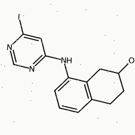 OC1CCc2cccc(Nc3cc(I)ncn3)c2C1